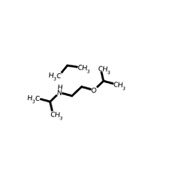 CC(C)NCCOC(C)C.CCC